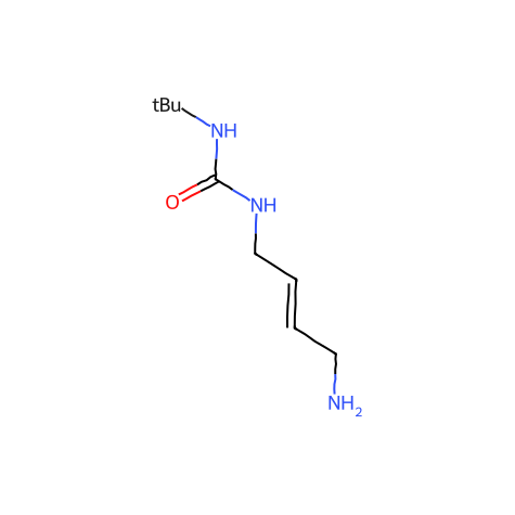 CC(C)(C)NC(=O)NC/C=C/CN